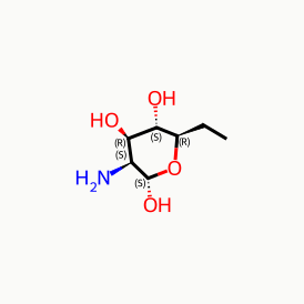 CC[C@H]1O[C@H](O)[C@@H](N)[C@@H](O)[C@@H]1O